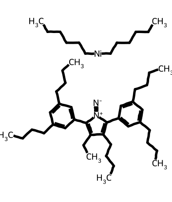 CCCCC1=C(c2cc(CCCC)cc(CCCC)c2)[N+](=[N-])C(c2cc(CCCC)cc(CCCC)c2)=C1CC.CCCCC[CH2][Ni][CH2]CCCCC